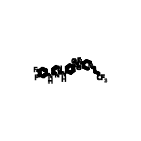 CN(C1CCN(CCCC(F)(F)F)CC1)S(=O)(=O)c1ccc(Nc2nccc(Nc3ccc(F)c(F)c3)n2)cc1